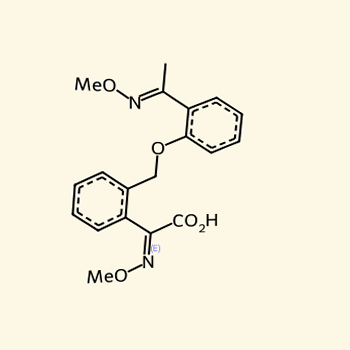 CON=C(C)c1ccccc1OCc1ccccc1/C(=N\OC)C(=O)O